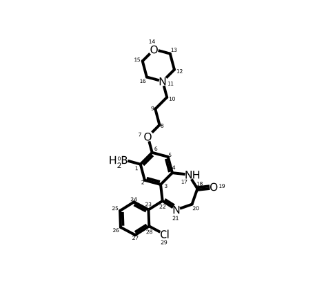 Bc1cc2c(cc1OCCCN1CCOCC1)NC(=O)CN=C2c1ccccc1Cl